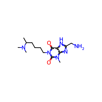 CC(CCCCn1c(=O)c2[nH]c(CN)nc2n(C)c1=O)N(C)C